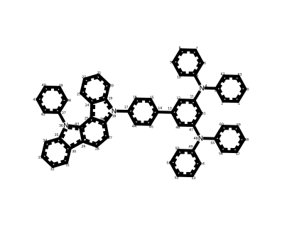 c1ccc(N(c2ccccc2)c2cc(-c3ccc(-n4c5ccccc5c5c4ccc4c6ccccc6n(-c6ccccc6)c45)cc3)cc(N(c3ccccc3)c3ccccc3)c2)cc1